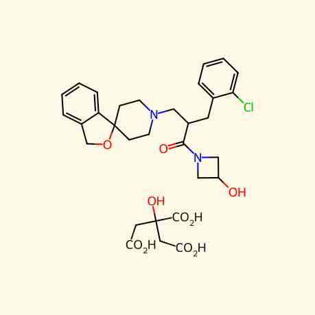 O=C(C(Cc1ccccc1Cl)CN1CCC2(CC1)OCc1ccccc12)N1CC(O)C1.O=C(O)CC(O)(CC(=O)O)C(=O)O